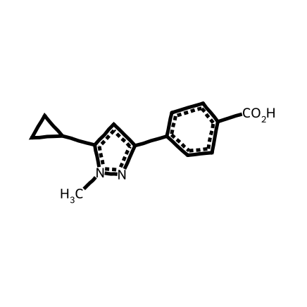 Cn1nc(-c2ccc(C(=O)O)cc2)cc1C1CC1